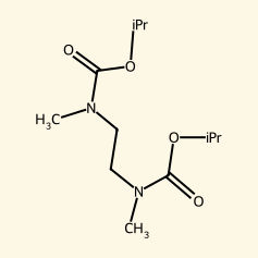 CC(C)OC(=O)N(C)CCN(C)C(=O)OC(C)C